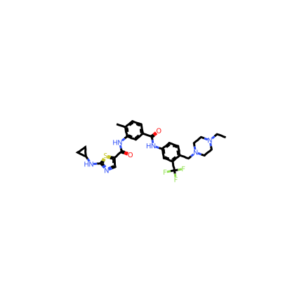 CCN1CCN(Cc2ccc(NC(=O)c3ccc(C)c(NC(=O)c4cnc(NC5CC5)s4)c3)cc2C(F)(F)F)CC1